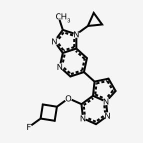 Cc1nc2ncc(-c3ccn4ncnc(OC5CC(F)C5)c34)cc2n1C1CC1